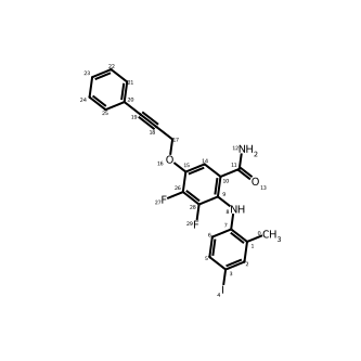 Cc1cc(I)ccc1Nc1c(C(N)=O)cc(OCC#Cc2ccccc2)c(F)c1F